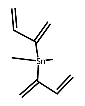 C=C[C](=C)[Sn]([CH3])([CH3])[C](=C)C=C